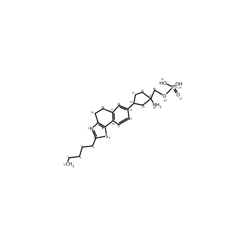 CCCCCc1nc2c(s1)-c1ccc(C3CCC(N)(COP(=O)(O)O)C3)cc1CC2